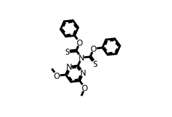 COc1cc(OC)nc(N(C(=S)Oc2ccccc2)C(=S)Oc2ccccc2)n1